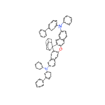 c1ccc(-c2cccc(N(c3ccccc3)c3ccc4cc5c(cc4c3)C3(c4cc6cc(N(c7ccccc7)c7cccc(-c8ccccc8)c7)ccc6cc4O5)C4CC5CC(C4)CC3C5)c2)cc1